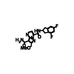 COCc1nn2c(C(=O)NC3Cc4cc(F)cc(F)c4C3)ccnc2c1C(N)=O